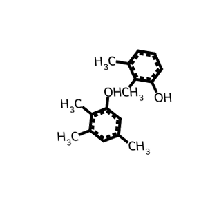 Cc1cc(C)c(C)c(O)c1.Cc1cccc(O)c1C